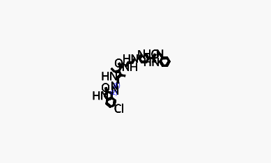 Cc1[nH]c(/C=N/N=C2\C(=O)Nc3ccc(Cl)cc32)c(C)c1C(=O)NCCNc1ccc(C(=O)Nc2ccccc2N)cn1